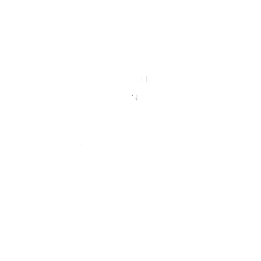 C=C(C)c1cccc(CN(C)C/C=C/c2ccccc2)c1.Cl